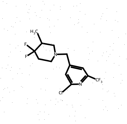 CC1CN(Cc2cc(Cl)nc(C(F)(F)F)c2)CCC1(F)F